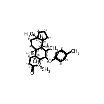 Cc1ccc(OC2C(C)[C@@H]3[C@@H](CC[C@]4(C)CCC[C@@H]34)[C@@]3(C)CCC(=O)N(C)C23)cc1